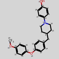 Oc1ccc(N2CCC(Cc3ccc(Oc4ccc(OC(F)(F)F)cc4)cc3)CC2)cc1